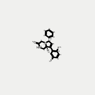 O=C1CN2[C@@H](CN1)C(c1cc(F)ccc1F)=C[C@H]2c1ccccc1